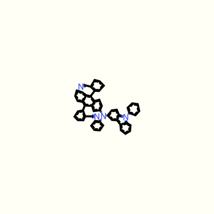 N#Cc1ccccc1-c1c2ccccc2c(-c2ccccc2C#N)c2cc(N(c3ccccc3)c3ccc4c(c3)c3ccccc3n4-c3ccccc3)ccc12